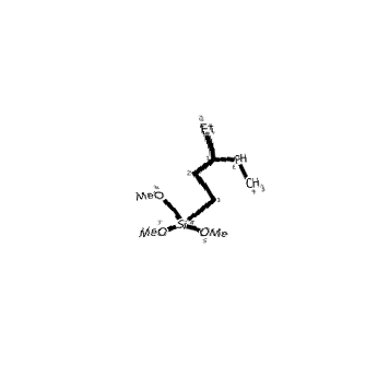 CCC(CC[Si](OC)(OC)OC)PC